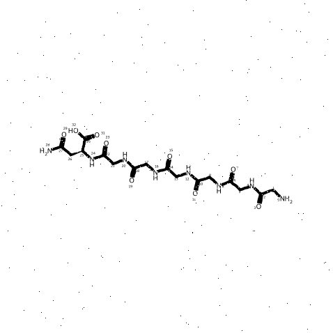 NCC(=O)NCC(=O)NCC(=O)NCC(=O)NCC(=O)NCC(=O)N[C@@H](CC(N)=O)C(=O)O